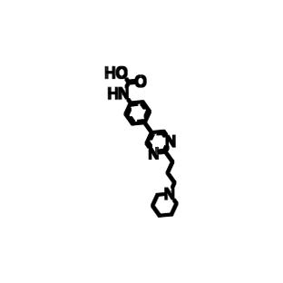 O=C(O)Nc1ccc(-c2cnc(CCCN3CCCCC3)nc2)cc1